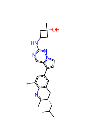 CC1=Nc2c(F)cc(-c3ccn4nc(NC5CC(C)(O)C5)ncc34)cc2C[C@@H]1CC(C)C